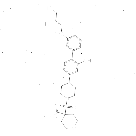 Cc1cc(C2CCN(S(=O)(=O)C3(C(=O)O)CCOCC3)CC2)ccc1-c1cccc(OC[C@H](O)CO)c1